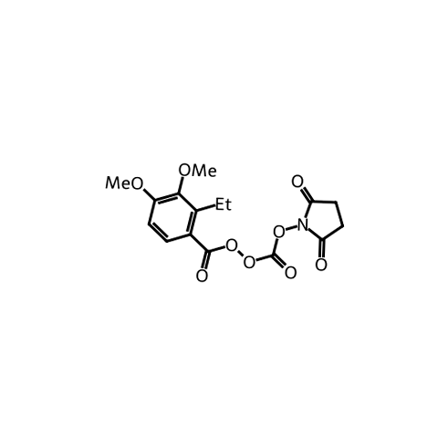 CCc1c(C(=O)OOC(=O)ON2C(=O)CCC2=O)ccc(OC)c1OC